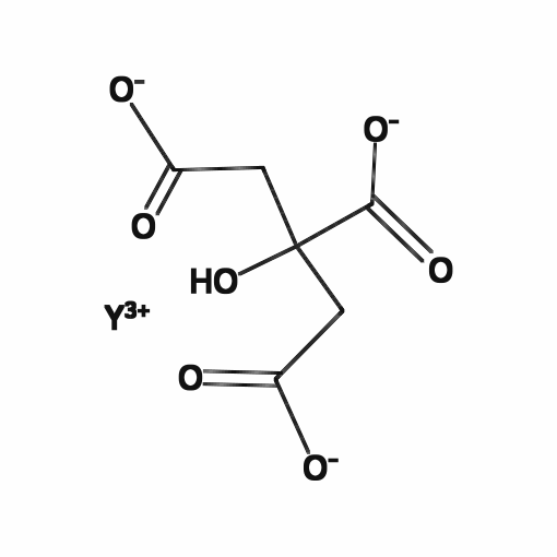 O=C([O-])CC(O)(CC(=O)[O-])C(=O)[O-].[Y+3]